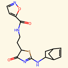 O=C(NCCC1SC(NC2CC3C=CC2C3)=NC1=O)c1ccno1